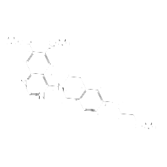 COCCOc1ccc2c(c1)CCN(c1ncnc3cc(OC)c(OC)cc13)C2